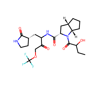 CCC(O)C(=O)N1[C@H](C(=O)NC(C[C@@H]2CCNC2=O)C(=O)COC(F)(F)F)C[C@@H]2CCC[C@@H]21